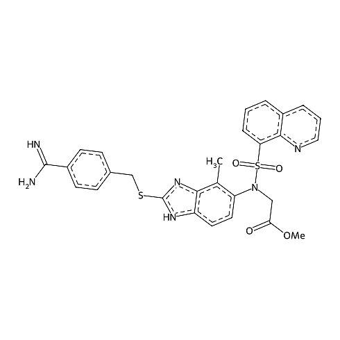 COC(=O)CN(c1ccc2[nH]c(SCc3ccc(C(=N)N)cc3)nc2c1C)S(=O)(=O)c1cccc2cccnc12